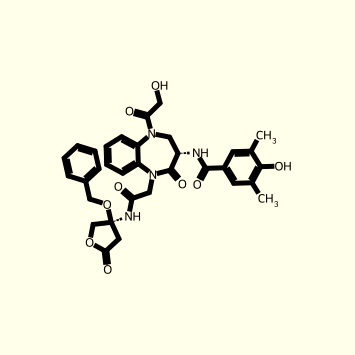 Cc1cc(C(=O)N[C@H]2CN(C(=O)CO)c3ccccc3N(CC(=O)N[C@@]3(OCc4ccccc4)COC(=O)C3)C2=O)cc(C)c1O